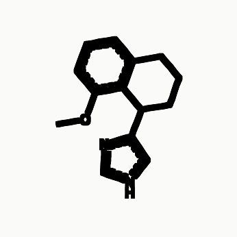 COc1cccc2c1C(c1c[nH]cn1)CCC2